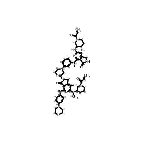 C=CC(=O)N1CCCC(Nc2nc(Nc3cccc(N4CCOC(N5Cc6c(F)c(N(C)C7CCCN(C(=O)C=C)C7)nc(Nc7ccc(N8CCOCC8)cc7)c6C5=O)C4)c3)c3c(c2F)CNC3=O)C1